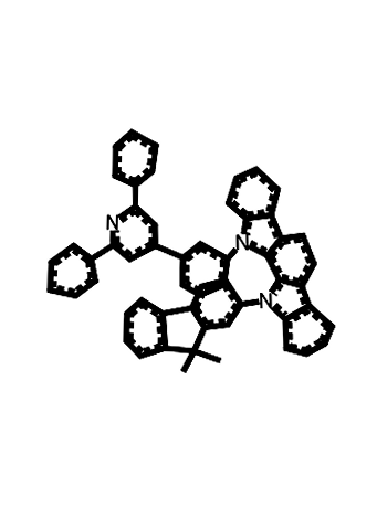 CC1(C)c2ccccc2-c2ccc(-n3c4ccccc4c4ccc5c6ccccc6n(-c6cccc(-c7cc(-c8ccccc8)nc(-c8ccccc8)c7)c6)c5c43)cc21